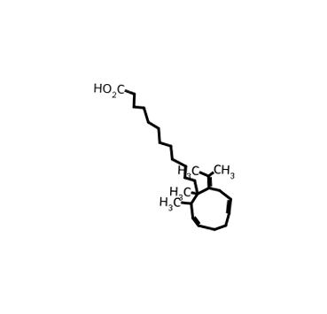 CC(C)=C1CC=CCCC=CC(C)C1(C)CCCCCCCCCCCC(=O)O